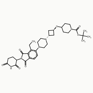 CCc1c(N2CCN([C@H]3C[C@H](OC4CCN(C(=O)OC(C)(C)C)CC4)C3)CC2)ccc2c1C(=O)N(C1CCC(=O)NC1=O)C2=O